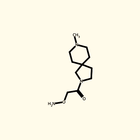 CN1CCC2(CC1)CCN(C(=O)CON)C2